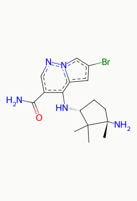 CC1(C)[C@H](Nc2c(C(N)=O)cnn3cc(Br)cc23)CC[C@]1(C)N